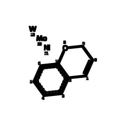 C1=Cc2ccccc2OC1.[Mo].[Ni].[W]